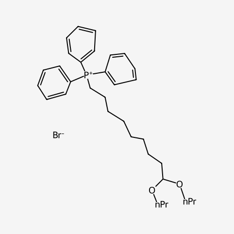 CCCOC(CCCCCCCC[P+](c1ccccc1)(c1ccccc1)c1ccccc1)OCCC.[Br-]